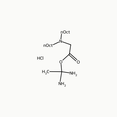 CCCCCCCCN(CCCCCCCC)CC(=O)OC(C)(N)N.Cl